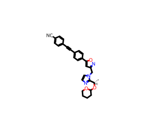 C[C@H](OC1CCCCO1)c1nccn1Cc1cc(-c2ccc(C#Cc3ccc(C#N)cc3)cc2)on1